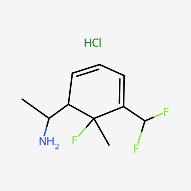 CC(N)C1C=CC=C(C(F)F)C1(C)F.Cl